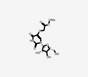 COOC(=O)COc1cn([C@@H]2O[C@H](CO)C(O)[C@@H]2O)c(=O)[nH]c1=O